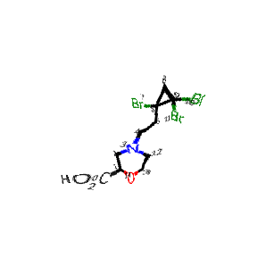 O=C(O)C1CN(CCC2(Br)CC2(Br)Br)CCO1